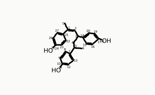 C/C(=C/C(CC(C)c1ccc(O)cc1)c1ccc(O)cc1)c1ccc(O)cc1